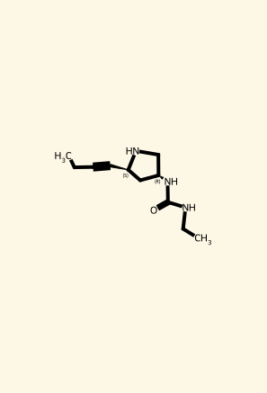 CCC#C[C@@H]1C[C@@H](NC(=O)NCC)CN1